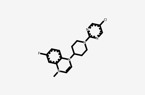 CN1C=CN(C2CCN(c3ncc(Cl)cn3)CC2)c2ccc(F)cc21